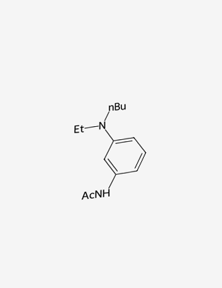 CCCCN(CC)c1cccc(NC(C)=O)c1